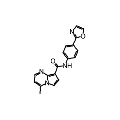 Cc1ccnc2c(C(=O)Nc3ccc(-c4ncco4)cc3)ccn12